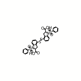 O=C(O)C1Cc2c(SSc3cccc4c3CC(C(=O)O)N4S(=O)(=O)c3ccccc3)cccc2N1S(=O)(=O)c1ccccc1